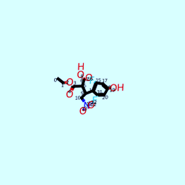 CCOC(=O)C(C(=O)O)C(C[N+](=O)[O-])c1c(F)cc(O)cc1F